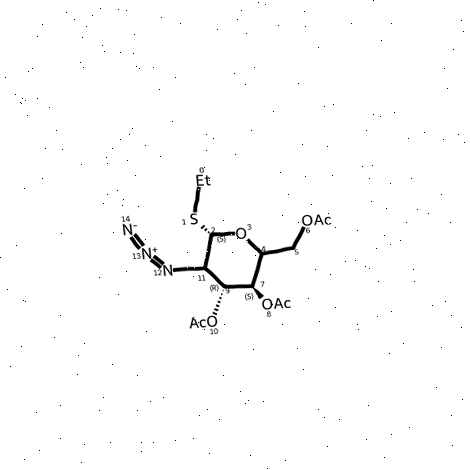 CCS[C@@H]1OC(COC(C)=O)[C@@H](OC(C)=O)[C@H](OC(C)=O)C1N=[N+]=[N-]